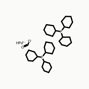 C1CCC(P(C2CCCCC2)C2CCCCC2)CC1.C1CCC(P(C2CCCCC2)C2CCCCC2)CC1.O=C[O-].[PdH+]